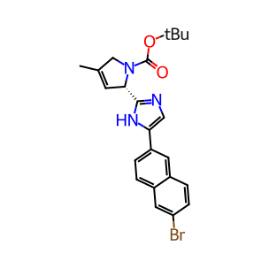 CC1=C[C@@H](c2ncc(-c3ccc4cc(Br)ccc4c3)[nH]2)N(C(=O)OC(C)(C)C)C1